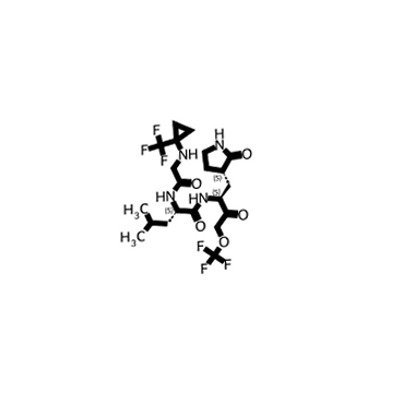 CC(C)C[C@H](NC(=O)CNC1(C(F)(F)F)CC1)C(=O)N[C@@H](C[C@@H]1CCNC1=O)C(=O)COC(F)(F)F